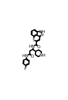 O=C(CC(NC(=O)C1=Cc2n[nH]c3cccc(c23)S1)C1CCNCC1)Nc1ccc(F)cc1